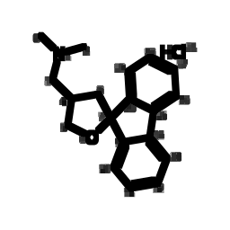 CN(C)CC1COC2(C1)c1ccccc1-c1ccccc12.Cl